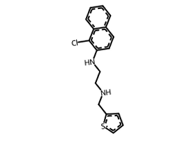 Clc1c(NCCNCc2cccs2)ccc2ccccc12